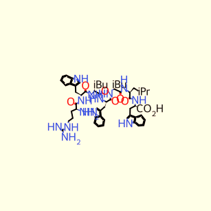 CC[C@H](C)[C@H](NC(=O)[C@H](Cc1c[nH]c2ccccc12)NC(=O)[C@@H](NC(=O)[C@H](Cc1c[nH]c2ccccc12)NC(=O)[C@@H](N)CCCNC(=N)N)[C@@H](C)CC)C(=O)N[C@@H](CC(C)C)C(=O)N[C@@H](Cc1c[nH]c2ccccc12)C(=O)O